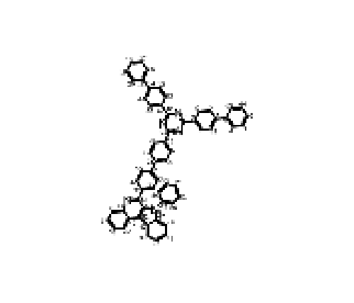 c1ccc(-c2ccc(-c3nc(-c4ccc(-c5ccccc5)cc4)nc(-c4ccc(-c5ccc(-c6nc7ccccc7c7c8ccccc8n(-c8ccccc8)c67)cc5)cc4)n3)cc2)cc1